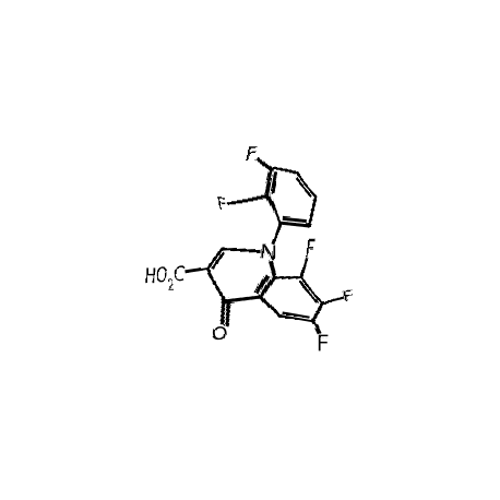 O=C(O)c1cn(-c2cccc(F)c2F)c2c(F)c(F)c(F)cc2c1=O